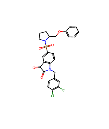 O=C1C(=O)N(Cc2ccc(Cl)c(Cl)c2)c2ccc(S(=O)(=O)N3CCCC3COc3ccccc3)cc21